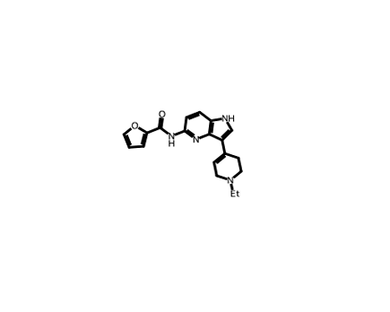 CCN1CC=C(c2c[nH]c3ccc(NC(=O)c4ccco4)nc23)CC1